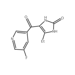 CCc1[nH]c(=O)[nH]c1C(=O)c1cncc(F)c1